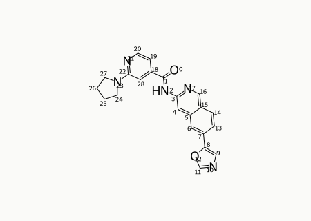 O=C(Nc1cc2cc(-c3cnco3)ccc2cn1)c1ccnc(N2CCCC2)c1